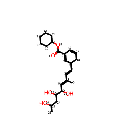 CC(/C=C/C1C=C(C(=O)OC2CCCCC2)C=CC1)=C\C(O)C(O)CC(C)O